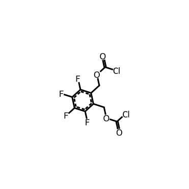 O=C(Cl)OCc1c(F)c(F)c(F)c(F)c1COC(=O)Cl